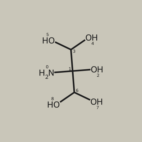 NC(O)(C(O)O)C(O)O